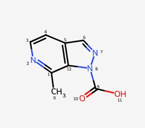 Cc1nccc2cnn(C(=O)O)c12